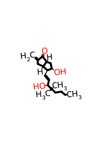 C=C1C[C@H]2[C@H](/C=C/[C@H](O)C(C)(C)CCCC)[C@H](O)C[C@@H]2C1=O